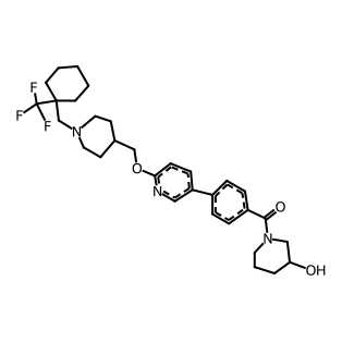 O=C(c1ccc(-c2ccc(OCC3CCN(CC4(C(F)(F)F)CCCCC4)CC3)nc2)cc1)N1CCCC(O)C1